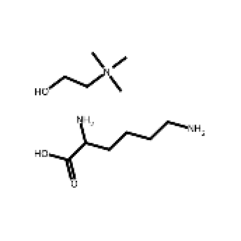 C[N+](C)(C)CCO.NCCCCC(N)C(=O)O